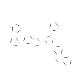 c1ccc(-c2nc(-c3ccc4cc(-c5cccc6oc7ccccc7c56)ccc4c3)nc(-c3ccc4c(ccc5ccccc54)c3)n2)cc1